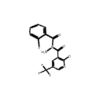 NN(C(=O)c1ccccc1F)C(=O)c1cc(C(F)(F)F)cnc1Cl